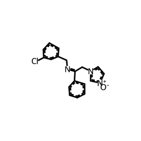 [O-][n+]1ccn(CC(=NCc2cccc(Cl)c2)c2ccccc2)c1